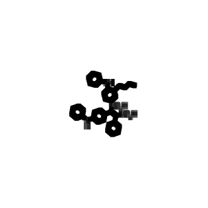 C=C/C=C/c1ccccc1Nc1ccccc1.O=C(O)/C(=C(\C(=O)O)c1ccc(Nc2ccccc2)cc1)c1ccccc1